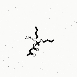 CCCCOC(C)(OCCCC)OC(=O)CC(C)=O.[AlH3]